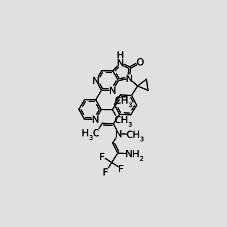 C/C=C(/c1ccc(C2(n3c(=O)[nH]c4cnc(-c5cccnc5C(C)C)nc43)CC2)cc1)N(C)/C=C(\N)C(F)(F)F